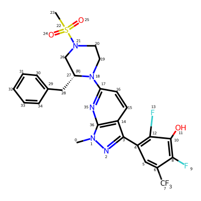 Cn1nc(-c2cc(C(F)(F)F)c(F)c(O)c2F)c2ccc(N3CCN(S(C)(=O)=O)C[C@H]3Cc3ccccc3)nc21